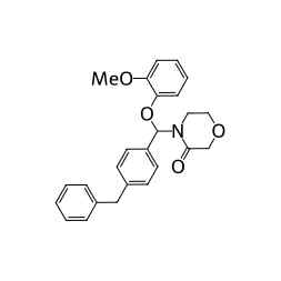 COc1ccccc1OC(c1ccc(Cc2ccccc2)cc1)N1CCOCC1=O